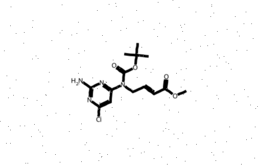 COC(=O)C=CCN(C(=O)OC(C)(C)C)c1cc(Cl)nc(N)n1